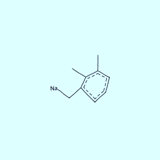 Cc1cccc([CH2][Na])c1C